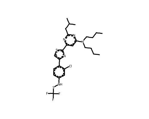 CCCCN(CCCC)c1cc(-c2nc(-c3ccc(NSC(F)(F)F)cc3Cl)cs2)nc(CC(C)C)n1